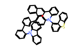 c1cc(-c2ccc(N(c3ccccc3-c3ccc4ccccc4c3)c3cccc4sc5ccccc5c34)cc2)cc(-c2ccccc2-n2c3ccccc3c3ccccc32)c1